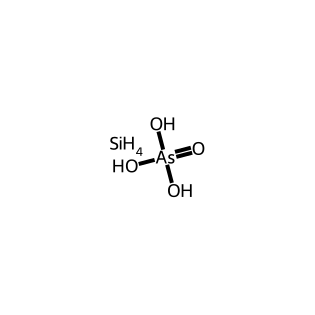 O=[As](O)(O)O.[SiH4]